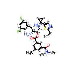 CCCN(CCC)C(=O)c1cc(C)cc(C(=O)O[C@H](CNC2(c3cnc(CC(C)C)s3)CC2)[C@H](N)Cc2cc(F)cc(F)c2)c1